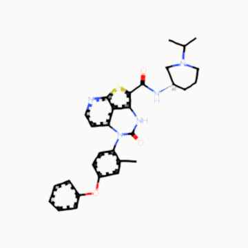 Cc1cc(Oc2ccccc2)ccc1N1C(=O)Nc2c(C(=O)N[C@@H]3CCCN(C(C)C)C3)sc3nccc1c23